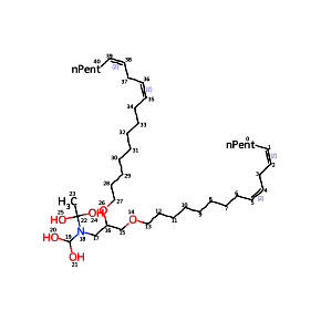 CCCCC/C=C\C/C=C\CCCCCCCCOCC(CN(C(O)O)C(C)(O)O)OCCCCCCCC/C=C\C/C=C\CCCCC